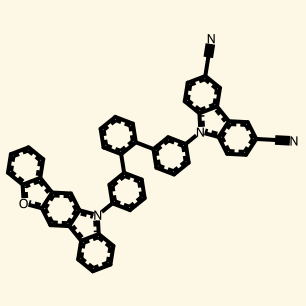 N#Cc1ccc2c(c1)c1cc(C#N)ccc1n2-c1cccc(-c2ccccc2-c2cccc(-n3c4ccccc4c4cc5oc6ccccc6c5cc43)c2)c1